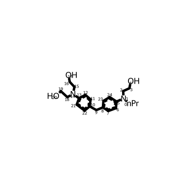 CCCN(CCO)c1ccc(Cc2ccc(N(CCO)CCO)cc2)cc1